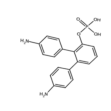 Nc1ccc(-c2cccc(OP(=O)(O)O)c2-c2ccc(N)cc2)cc1